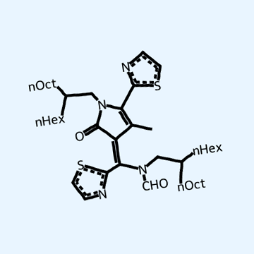 CCCCCCCCC(CCCCCC)CN1C(=O)/C(=C(\c2nccs2)N(C=O)CC(CCCCCC)CCCCCCCC)C(C)=C1c1nccs1